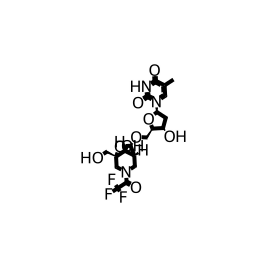 Cc1cn([C@H]2C[C@H](O)[C@@H](CO[C@@H]3O[C@@]4(CO)CN(C(=O)C(F)(F)F)C[C@@H]3[C@@H]4O)O2)c(=O)[nH]c1=O